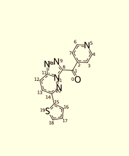 O=C(c1ccncc1)c1nnc2ccc(-c3cccs3)nn12